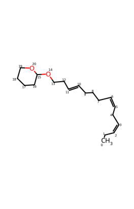 CC/C=C\C/C=C\CCC/C=C/CCOC1CCCCO1